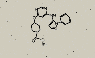 CC(C)OC(=O)N1CCC(Oc2cc(Nc3ccnn3-c3ccccc3)ncn2)CC1